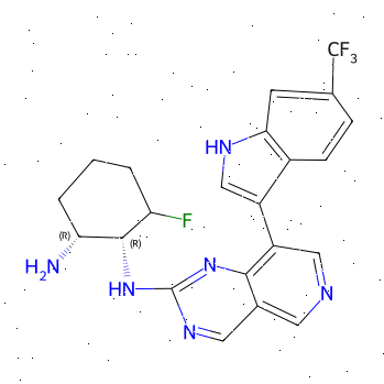 N[C@@H]1CCCC(F)[C@@H]1Nc1ncc2cncc(-c3c[nH]c4cc(C(F)(F)F)ccc34)c2n1